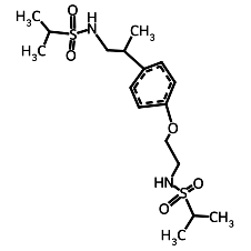 CC(CNS(=O)(=O)C(C)C)c1ccc(OCCNS(=O)(=O)C(C)C)cc1